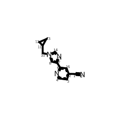 N#Cc1ccnc(-c2cn(CC3CC3)cn2)c1